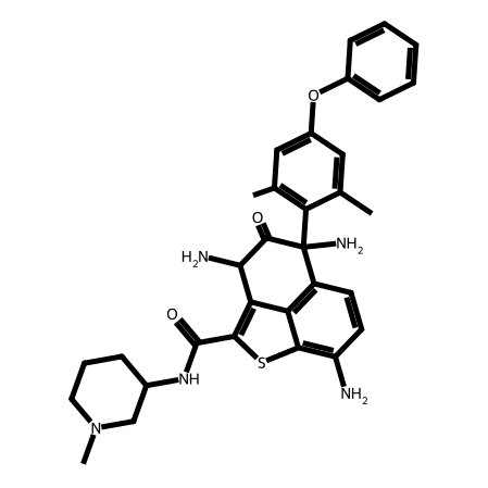 Cc1cc(Oc2ccccc2)cc(C)c1C1(N)C(=O)C(N)c2c(C(=O)NC3CCCN(C)C3)sc3c(N)ccc1c23